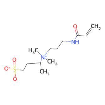 C=CC(=O)NCCC[N+](C)(C)C(C)CCS(=O)(=O)[O-]